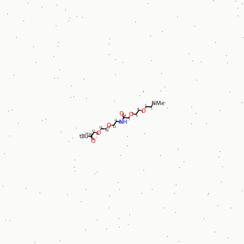 CNCCOCCOCC(=O)NCCOCCOCC(=O)C(C)(C)C